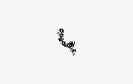 CCCC(=O)OCOC(=O)C1(C(=O)O)CCN(Cc2ccc(-c3noc(-c4ccc(-c5ccccc5)c(F)c4)n3)cc2)CC1